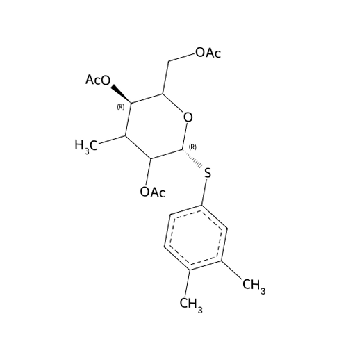 CC(=O)OCC1O[C@H](Sc2ccc(C)c(C)c2)C(OC(C)=O)C(C)[C@H]1OC(C)=O